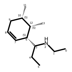 CCNC(CC)[C@@H]1C=CC[C@H](C)[C@@H]1C